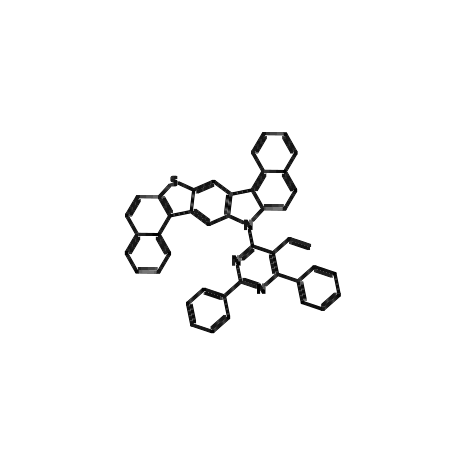 C=Cc1c(-c2ccccc2)nc(-c2ccccc2)nc1-n1c2cc3c(cc2c2c4ccccc4ccc21)sc1ccc2ccccc2c13